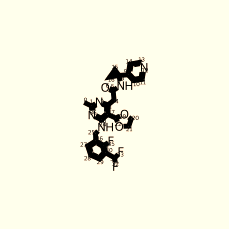 Cc1nc(CC(=O)NC2(c3ccncc3)CC2)c(C2OCCO2)c(NCc2cccc(C(F)F)c2F)n1